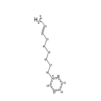 CC=CCCCCCCc1ccccc1